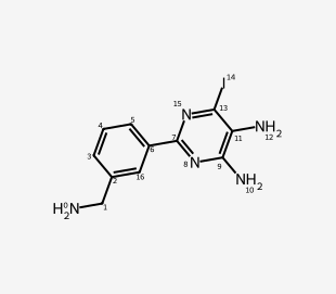 NCc1cccc(-c2nc(N)c(N)c(I)n2)c1